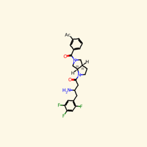 CC(=O)c1cccc(C(=O)N2C[C@@H]3CCN(C(=O)CC(N)Cc4cc(F)c(F)cc4F)[C@@H]3C2)c1